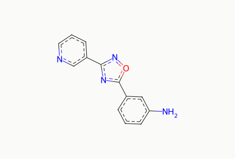 Nc1cccc(-c2nc(-c3cccnc3)no2)c1